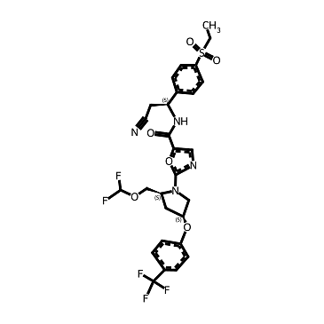 CCS(=O)(=O)c1ccc([C@H](CC#N)NC(=O)c2cnc(N3C[C@@H](Oc4ccc(C(F)(F)F)cc4)C[C@H]3COC(F)F)o2)cc1